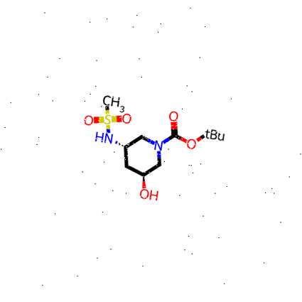 CC(C)(C)OC(=O)N1C[C@@H](O)C[C@H](NS(C)(=O)=O)C1